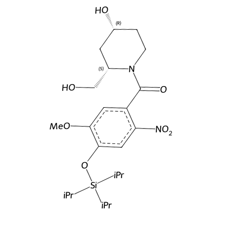 COc1cc(C(=O)N2CC[C@@H](O)C[C@H]2CO)c([N+](=O)[O-])cc1O[Si](C(C)C)(C(C)C)C(C)C